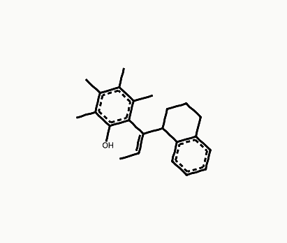 CC=C(c1c(C)c(C)c(C)c(C)c1O)C1CCCc2ccccc21